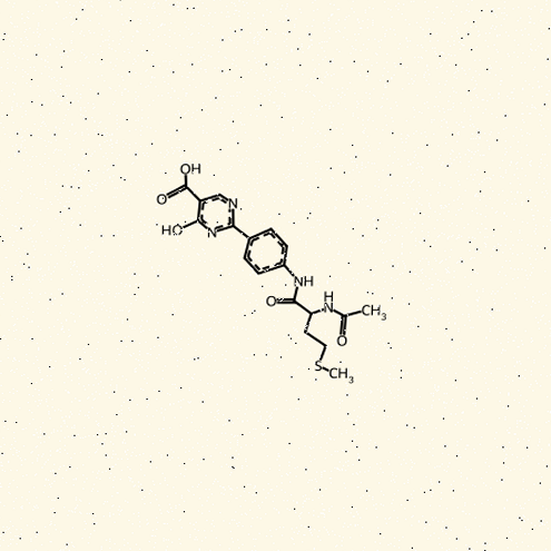 CSCCC(NC(C)=O)C(=O)Nc1ccc(-c2ncc(C(=O)O)c(O)n2)cc1